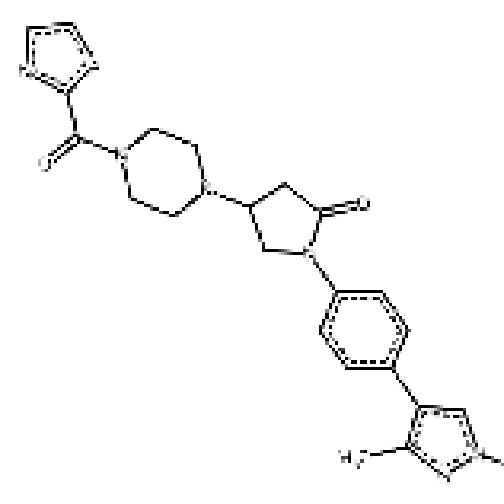 Cc1nn(C)cc1-c1ccc(N2CC(N3CCN(C(=O)c4nccs4)CC3)CC2=O)cc1